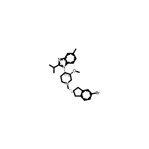 CO[C@H]1CN(C[C@H]2Cc3ccc(Br)cc3C2)CC[C@@H]1n1c(C(C)C)nc2cc(C)ccc21